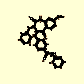 COc1ccc2c(c1)NC(=O)C(Cc1cccnc1)N(Cc1ccc(C(=O)Nc3ccccn3)cc1)C2=O